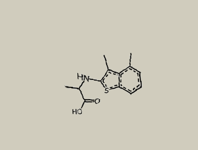 Cc1cccc2sc(NC(C)C(=O)O)c(C)c12